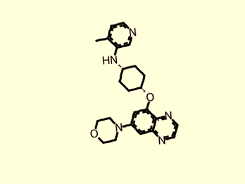 Cc1ccncc1N[C@H]1CC[C@@H](Oc2cc(N3CCOCC3)cc3nccnc23)CC1